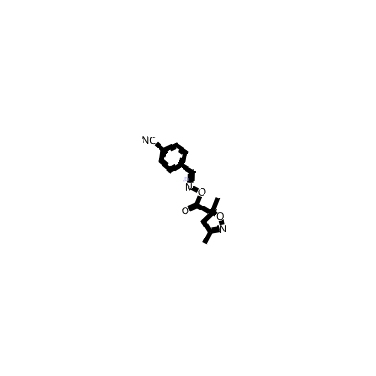 CC1=NOC(C)(C(=O)O/N=C/c2ccc(C#N)cc2)C1